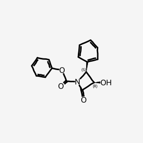 O=C(Oc1ccccc1)N1C(=O)[C@H](O)[C@@H]1c1ccccc1